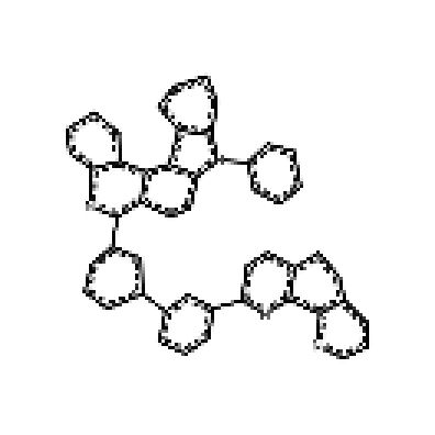 c1ccc(-n2c3ccccc3c3c4c(ccc32)c(-c2cccc(-c3cccc(-c5ccc6ccc7cccnc7c6n5)c3)c2)nc2ccccc24)cc1